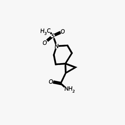 CS(=O)(=O)N1CCC2(CC1)CC2C(N)=O